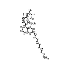 NCCOCCOCCOc1cc2c3c(cccc3c1)C(=O)N(C1CCC(=O)NC1=O)C2=O